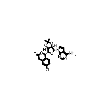 CC1(C)O[C@@H]2[C@H](O1)[C@@H](C1OC(=O)Cc3cc(Cl)ccc31)O[C@H]2n1ccc2c(N)ncnc21